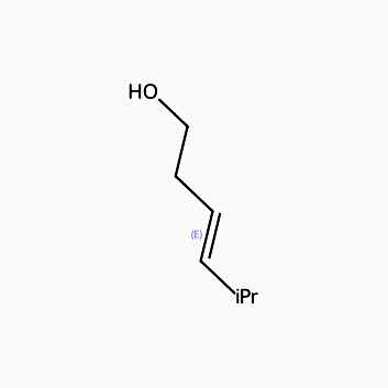 CC(C)/C=C/CCO